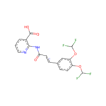 O=C(/C=C/c1ccc(OC(F)F)c(OC(F)F)c1)Nc1ncccc1C(=O)O